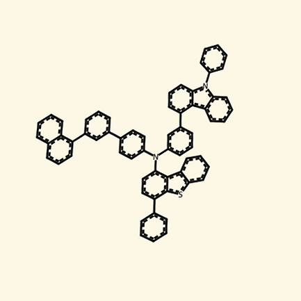 c1ccc(-c2ccc(N(c3ccc(-c4cccc(-c5cccc6ccccc56)c4)cc3)c3cccc(-c4cccc5c4c4ccccc4n5-c4ccccc4)c3)c3c2sc2ccccc23)cc1